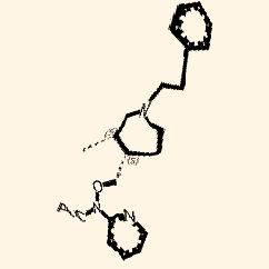 CC(=O)N(OC[C@H]1CCN(CCc2ccccc2)C[C@H]1C)c1ccccn1